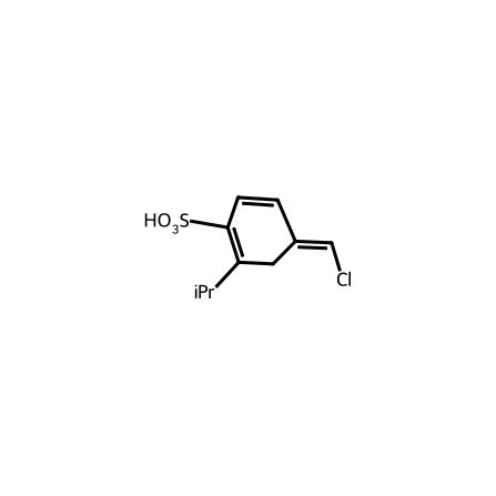 CC(C)C1=C(S(=O)(=O)O)C=CC(=CCl)C1